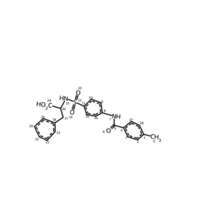 Cc1ccc(C(=O)Nc2ccc(S(=O)(=O)NC(Cc3ccccc3)C(=O)O)cc2)cc1